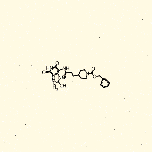 CC(C)Nc1[nH]c(=O)[nH]c(=O)c1NC(=O)CCC1CCN(C(=O)OCc2ccccc2)CC1